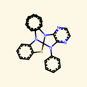 c1ccc(N2c3ccccc3SC23N(c2ccccc2)c2nccnc2N3c2ccccc2)cc1